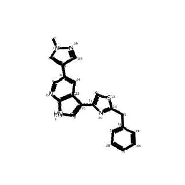 Cn1cc(-c2cnc3[nH]cc(-c4csc(Cc5ccccc5)n4)c3c2)cn1